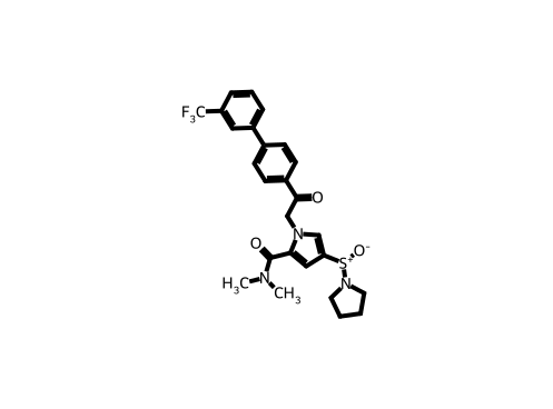 CN(C)C(=O)c1cc([S+]([O-])N2CCCC2)cn1CC(=O)c1ccc(-c2cccc(C(F)(F)F)c2)cc1